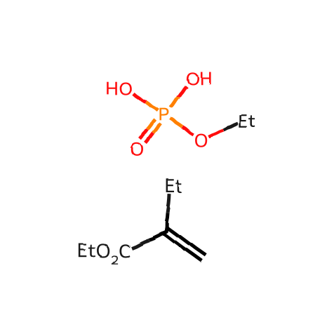 C=C(CC)C(=O)OCC.CCOP(=O)(O)O